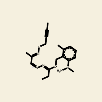 CC#CCON=C(C)/C=N\N=C(CC)OCc1c(C)cccc1N(C)N